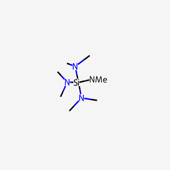 CN[Si](N(C)C)(N(C)C)N(C)C